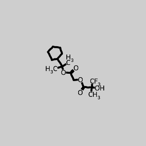 CC(C)(OC(=O)COC(=O)C(C)(O)C(F)(F)F)C1CCCCC1